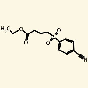 CCOC(=O)CCCS(=O)(=O)c1ccc(C#N)cc1